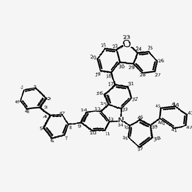 c1ccc(-c2cccc(-c3ccc4c(c3)c3cc(-c5cccc6oc7ccccc7c56)ccc3n4-c3cccc(-c4ccccc4)c3)c2)cc1